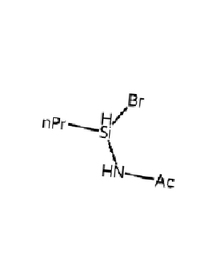 CCC[SiH](Br)NC(C)=O